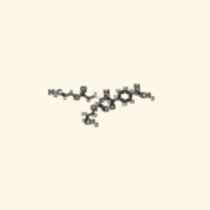 C=CCOC(=O)CC[C@H](NC(=O)c1ccc(NC)cc1)C(=O)OCC=C